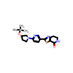 CC(C)(C)[Si](C)(C)O[C@H]1CCN(c2ccc(-c3nc4c(s3)C(=O)NCC4)cn2)C1